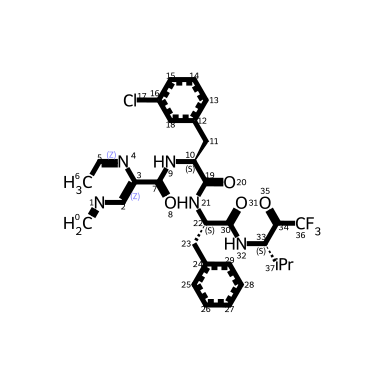 C=N/C=C(\N=C/C)C(=O)N[C@@H](Cc1cccc(Cl)c1)C(=O)N[C@@H](Cc1ccccc1)C(=O)N[C@H](C(=O)C(F)(F)F)C(C)C